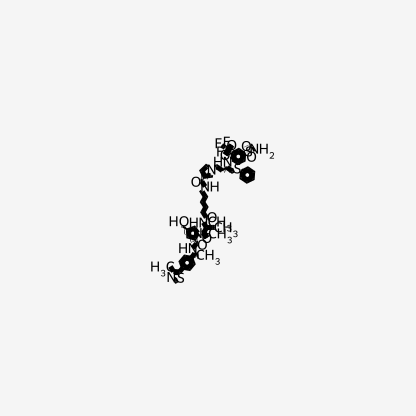 Cc1ncsc1-c1ccc([C@H](C)NC(=O)[C@@H]2C[C@@H](CO)CN2C(=O)C(NC(=O)CCCCCNC(=O)[C@@H]2CCN(CC[C@H](CSc3ccccc3)Nc3ccc(S(N)(=O)=O)cc3S(=O)(=O)C(F)(F)F)C2)C(C)(C)C)cc1